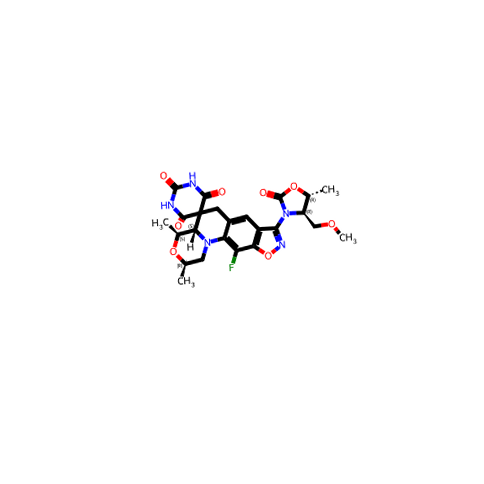 COC[C@@H]1[C@@H](C)OC(=O)N1c1noc2c(F)c3c(cc12)CC1(C(=O)NC(=O)NC1=O)[C@H]1[C@H](C)O[C@H](C)CN31